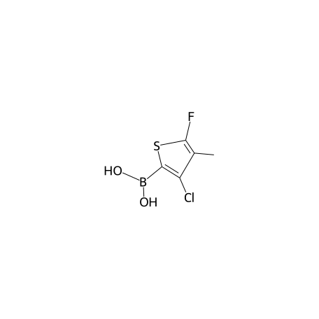 Cc1c(F)sc(B(O)O)c1Cl